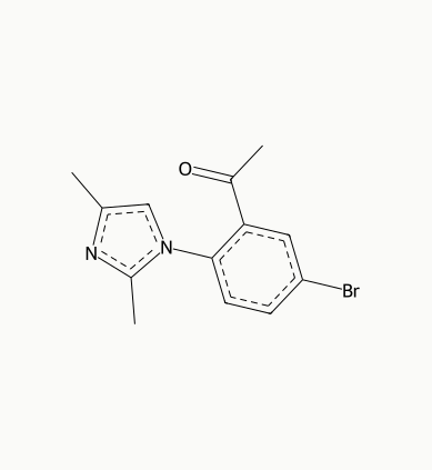 CC(=O)c1cc(Br)ccc1-n1cc(C)nc1C